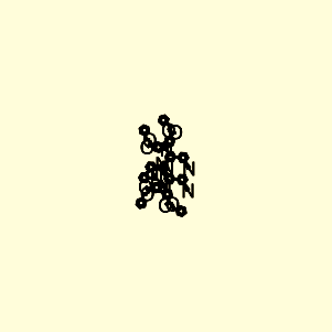 N#Cc1cccc(-c2cc(-c3nc(-c4cccc(-c5ccccc5C#N)c4)nc(-c4cc(-c5cccc(C#N)c5)cc(-n5c6ccc(C(=O)OCc7ccccc7)cc6c6cc(C(=O)OCc7ccccc7)ccc65)c4)n3)cc(-n3c4ccc(C(=O)OCc5ccccc5)cc4c4cc(C(=O)OCc5ccccc5)ccc43)c2)c1